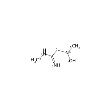 CNC(=N)CN(C)O